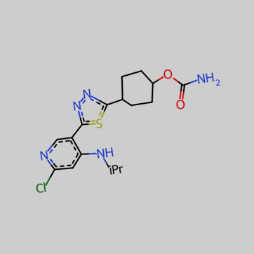 CC(C)Nc1cc(Cl)ncc1-c1nnc(C2CCC(OC(N)=O)CC2)s1